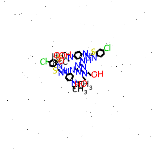 CCN(CC)c1ccc(/N=N/c2nc3ccc(Cl)cc3s2)c(Nc2nc(Nc3cc(N(CC)CC)ccc3/N=N/c3nc4c(S(=O)(=O)O)cc(Cl)cc4s3)nc(N(CCO)CCO)n2)c1